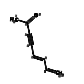 C=CC=CC#CC(C)=O